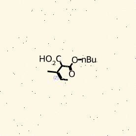 C/C=C(/C)C(C(=O)O)C(=O)OCCCC